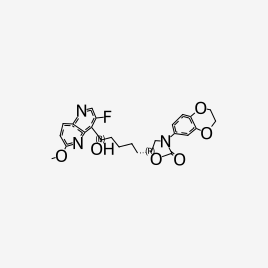 COc1ccc2ncc(F)c([C@H](O)CCCC[C@@H]3CN(c4ccc5c(c4)OCCO5)C(=O)O3)c2n1